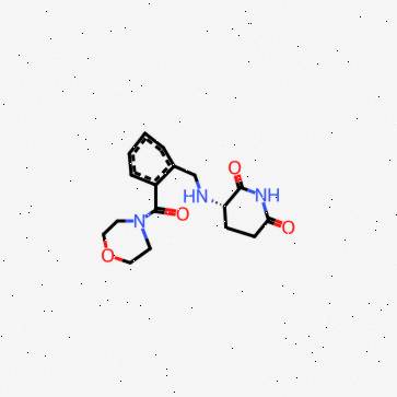 O=C1CC[C@H](NCc2ccccc2C(=O)N2CCOCC2)C(=O)N1